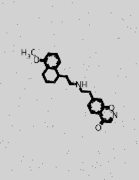 COc1cccc2c1CCCC2CCNCCc1ccc2c(=O)cnoc2c1